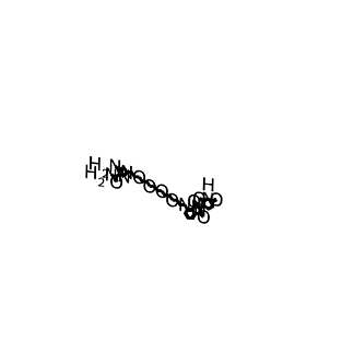 NC(=O)c1nn(CCOCCOCCOCCOCCNc2cccc3c2C(=O)N(C2CCC(=O)NC2=O)C3=O)cc1N